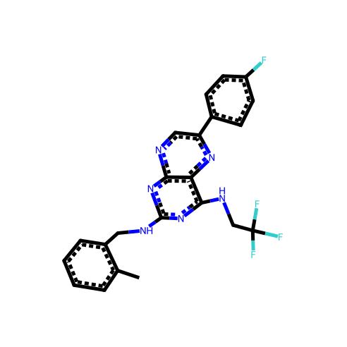 Cc1ccccc1CNc1nc(NCC(F)(F)F)c2nc(-c3ccc(F)cc3)cnc2n1